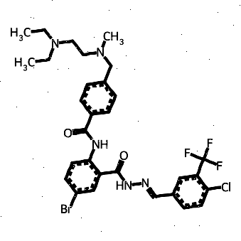 CCN(CC)CCN(C)Cc1ccc(C(=O)Nc2ccc(Br)cc2C(=O)NN=Cc2ccc(Cl)c(C(F)(F)F)c2)cc1